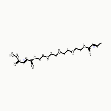 C/C=C/C(=O)OCCOCCOCCOCCOC(=O)/C=C/C(=O)OO